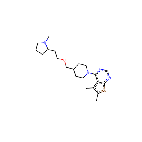 Cc1sc2ncnc(N3CCC(COCCC4CCCN4C)CC3)c2c1C